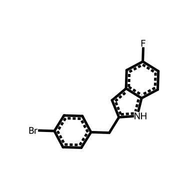 Fc1ccc2[nH]c(Cc3ccc(Br)cc3)cc2c1